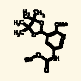 COc1ncc(NC(=O)OC(C)(C)C)cc1B1OC(C)(C)C(C)(C)O1